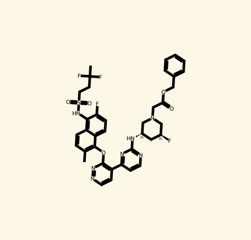 Cc1ccc2c(NS(=O)(=O)CCC(C)(F)F)c(F)ccc2c1Oc1nnccc1-c1ccnc(N[C@H]2C[C@H](F)CN(CC(=O)OCc3ccccc3)C2)n1